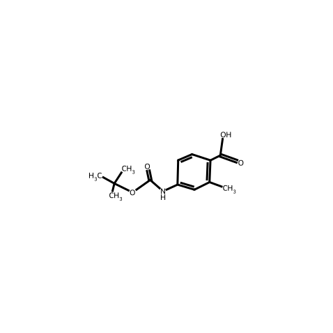 Cc1cc(NC(=O)OC(C)(C)C)ccc1C(=O)O